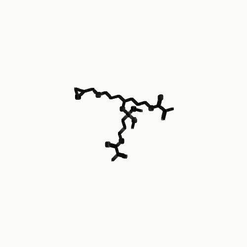 C=C(C)C(=O)OCCCC(CCCOCC1CO1)O[Si](CCCOC(=O)C(=C)C)(OC)OC